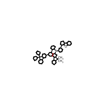 CC1(C)c2ccccc2-c2ccc(N(c3cccc(-c4cccc5c4oc4ccccc45)c3)c3ccccc3-c3cccc(-c4ccc5c(c4)-c4ccccc4C5(c4ccccc4)c4ccccc4)c3)cc21